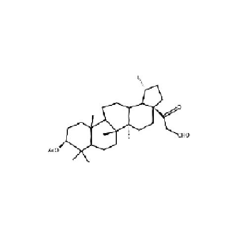 CC(=O)O[C@H]1CC[C@@]2(C)C(CC[C@]3(C)C2CCC2C4[C@H](I)CC[C@]4(C(=O)CC=O)CC[C@]23C)C1(C)C